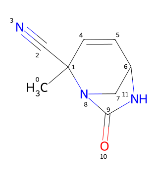 CC1(C#N)C=CC2CN1C(=O)N2